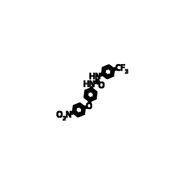 O=C(Nc1ccc(Oc2ccc([N+](=O)[O-])cc2)cc1)Nc1ccc(C(F)(F)F)cc1